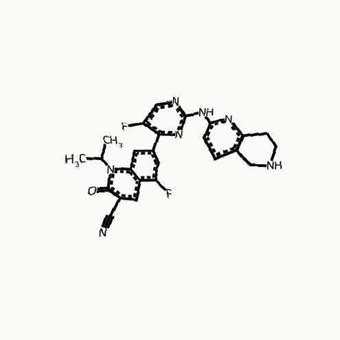 CC(C)n1c(=O)c(C#N)cc2c(F)cc(-c3nc(Nc4ccc5c(n4)CCNC5)ncc3F)cc21